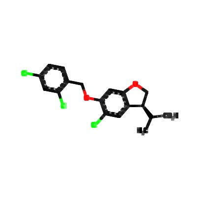 CC(C(=O)O)[C@@H]1COc2cc(OCc3ccc(Cl)cc3Cl)c(Cl)cc21